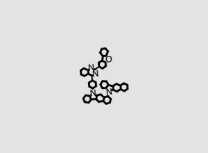 c1ccc2cc3c(cc2c1)c1ccccc1n3-c1cccc2cc3c4ccccc4n(-c4ccc(-c5nc(-c6ccc7oc8ccccc8c7c6)nc6ccccc56)cc4)c3cc12